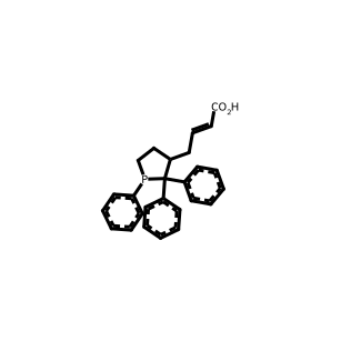 O=C(O)C=CCC1CCP(c2ccccc2)C1(c1ccccc1)c1ccccc1